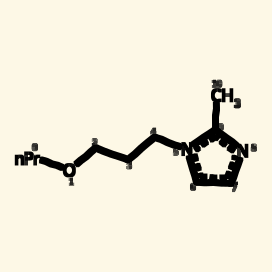 CCCOCCCn1c[c]nc1C